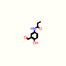 CCC(=O)Nc1ccc(O)c(C=O)c1